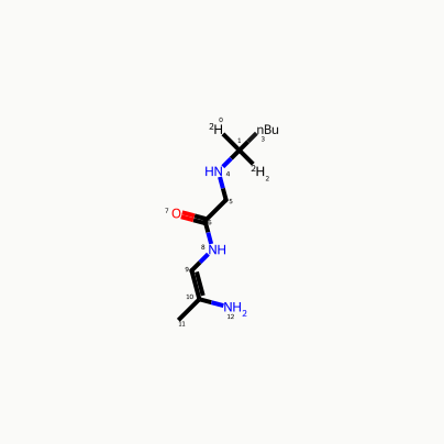 [2H]C([2H])(CCCC)NCC(=O)NC=C(C)N